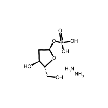 N.N.O=P(O)(O)O[C@@H]1C[C@H](O)[C@@H](CO)O1